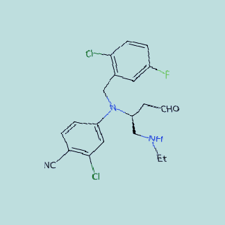 CCNC[C@H](CC=O)N(Cc1cc(F)ccc1Cl)c1ccc(C#N)c(Cl)c1